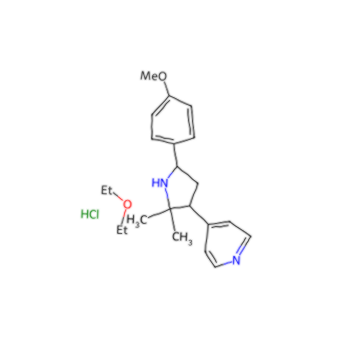 CCOCC.COc1ccc(C2CC(c3ccncc3)C(C)(C)N2)cc1.Cl